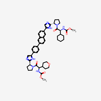 COC(=O)NC(C(=O)N1CCC[C@H]1c1ncc(-c2ccc(-c3ccc4cc(-c5cnc([C@@H]6CCCN6C(=O)[C@@H](NC(=O)OC)C6CCCCC6)[nH]5)ccc4c3)cc2)[nH]1)C1CCOCC1